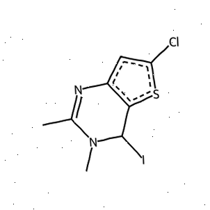 CC1=Nc2cc(Cl)sc2C(I)N1C